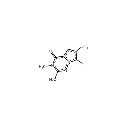 Cc1cc2c(=O)n(C)c(C)nn2c1F